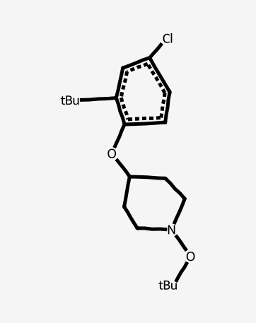 CC(C)(C)ON1CCC(Oc2ccc(Cl)cc2C(C)(C)C)CC1